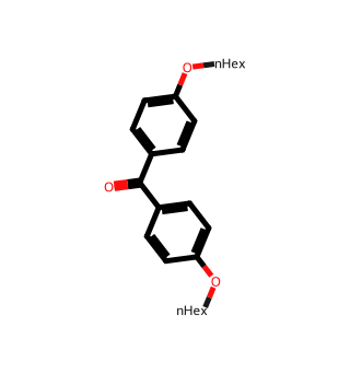 CCCCCCOc1ccc(C(=O)c2ccc(OCCCCCC)cc2)cc1